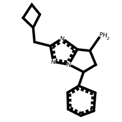 PC1CC(c2ccccc2)n2nc(CC3CCC3)nc21